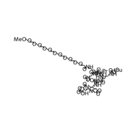 COCCOCCOCCOCCOCCOCCOCCOCCOCCOCCOCCOCCC(=O)NCCCC[C@H](NC(=O)CCN1C(=O)C=CC1=O)C(=O)N[C@H](C(=O)N[C@@H](CCCCNC(=O)OC(C)(C)C)C(=O)NCC(=O)NCc1c2c(nc3cc4c(cc13)OCO4)-c1cc3c(c(=O)n1C2)COC(=O)[C@H]3O)C(C)C